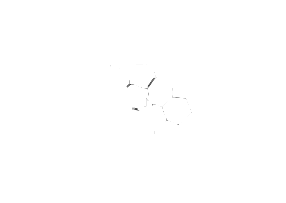 COC(=O)C(=CO)N(C=O)C1C(C)CCCC1C